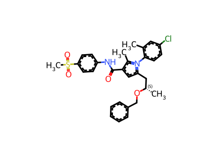 Cc1cc(Cl)ccc1-n1c(C[C@H](C)OCc2ccccc2)cc(C(=O)Nc2ccc(S(C)(=O)=O)cc2)c1C